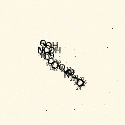 O=C(O)c1ncn(CCCc2ccc(OCc3coc(/C=C/c4ccccc4)n3)cc2)c1C(=O)O